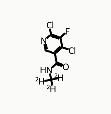 [2H]C([2H])([2H])NC(=O)c1cnc(Cl)c(F)c1Cl